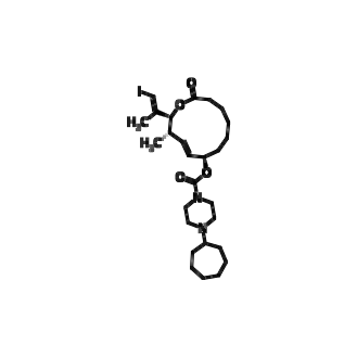 C/C(=C\I)[C@H]1OC(=O)CCCCC[C@@H](OC(=O)N2CCN(C3CCCCCC3)CC2)/C=C/[C@@H]1C